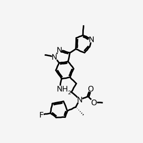 COC(=O)N(CCc1cc2c(-c3ccnc(C)c3)nn(C)c2cc1N)[C@H](C)c1ccc(F)cc1